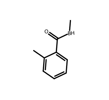 CBC(=O)c1ccccc1C